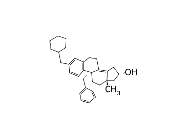 C[C@@]12CC[C@]3(Cc4ccccc4)C(=C1C[C@H](O)C2)CCc1cc(CC2CCCCC2)ccc13